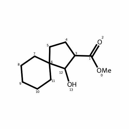 COC(=O)C1CCC2(CCCCC2)C1O